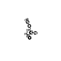 O=S1(=O)CCN([C@H]2CC[C@H](CNc3cc(-n4c(C(F)F)nc5ccccc54)nc(N4CCOCC4)n3)CC2)CC1